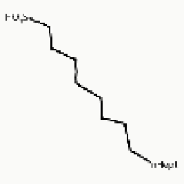 C[CH]CCCCCCCCCCCCCS(=O)(=O)O